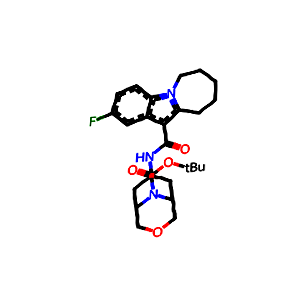 CC(C)(C)OC(=O)N1C2COCC1CC(NC(=O)c1c3n(c4ccc(F)cc14)CCCCC3)C2